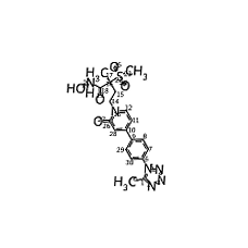 Cc1nnnn1-c1ccc(-c2ccn(CC[C@](C)(C(=O)NO)S(C)(=O)=O)c(=O)c2)cc1